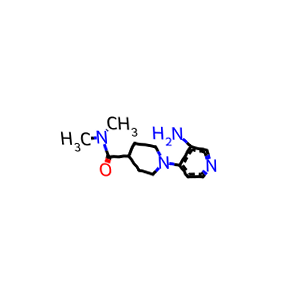 CN(C)C(=O)C1CCN(c2ccncc2N)CC1